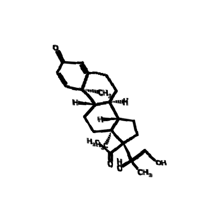 CC(=O)[C@@]1(C(C)(O)CO)CC[C@H]2[C@@H]3CCC4=CC(=O)C=C[C@]4(C)[C@H]3CC[C@@]21C